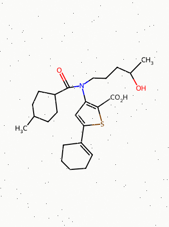 CC(O)CCCN(C(=O)C1CCC(C)CC1)c1cc(C2=CCCCC2)sc1C(=O)O